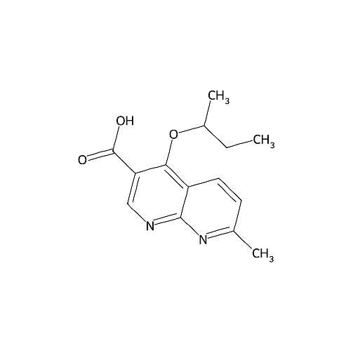 CCC(C)Oc1c(C(=O)O)cnc2nc(C)ccc12